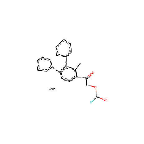 Cc1c(C(=O)COB(O)F)ccc(-c2ccccc2)c1-c1ccccc1.[AsH3]